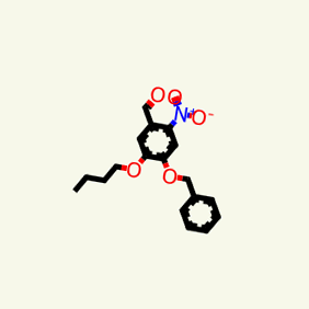 CCCCOc1cc(C=O)c([N+](=O)[O-])cc1OCc1ccccc1